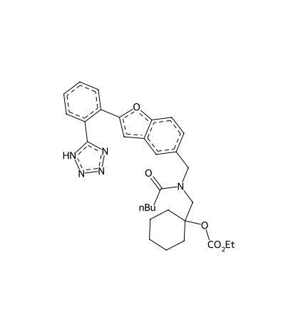 CCCCC(=O)N(Cc1ccc2oc(-c3ccccc3-c3nnn[nH]3)cc2c1)CC1(OC(=O)OCC)CCCCC1